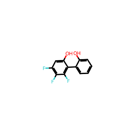 Oc1ccccc1-c1c(O)cc(F)c(F)c1F